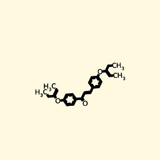 CC=C(CC)Oc1ccc(C=CC(=O)c2ccc(OC(=CC)CC)cc2)cc1